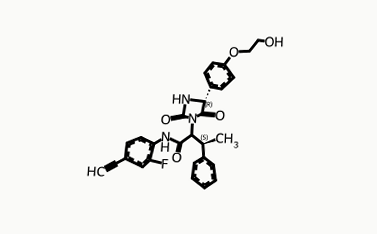 C#Cc1ccc(NC(=O)C([C@@H](C)c2ccccc2)N2C(=O)N[C@H](c3ccc(OCCO)cc3)C2=O)c(F)c1